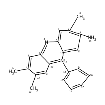 Cc1cc2nc3cc(C)c(N)cc3[n+](-c3ccccc3)c2cc1C